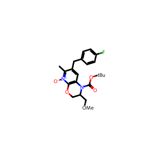 COCC1COc2c(cc(Cc3ccc(F)cc3)c(C)[n+]2[O-])N1C(=O)OC(C)(C)C